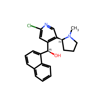 CN1CCC[C@H]1c1cnc(Cl)cc1[C@@H](O)c1cccc2ccccc12